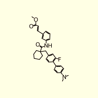 COC(=O)/C=C/c1cccc(NC(=O)C2(Cc3ccc(-c4ccc(N(C)C)cc4)c(F)c3)CCCCC2)c1